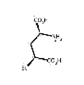 CC[C@@H](C[C@H](N)C(=O)O)C(=O)O